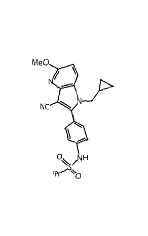 COc1ccc2c(n1)c(C#N)c(-c1ccc(NS(=O)(=O)C(C)C)cc1)n2CC1CC1